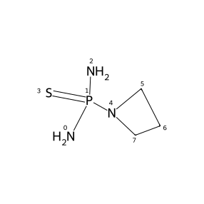 NP(N)(=S)N1CCC1